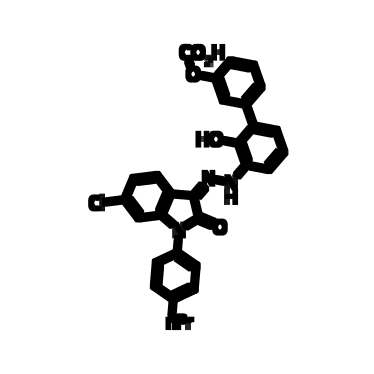 CCCc1ccc(N2C(=O)C(=NNc3cccc(-c4cccc(OC(=O)O)c4)c3O)c3ccc(Cl)cc32)cc1